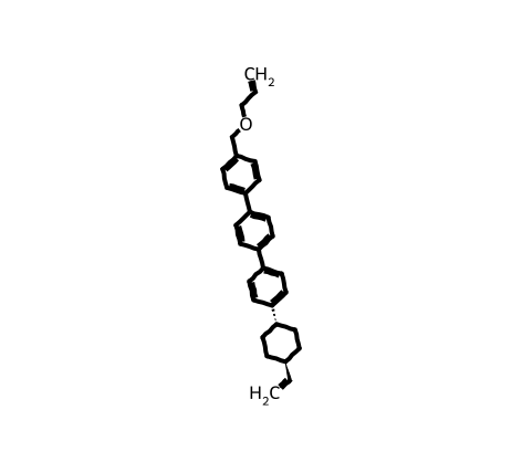 C=CCOCc1ccc(-c2ccc(-c3ccc([C@H]4CC[C@H](C=C)CC4)cc3)cc2)cc1